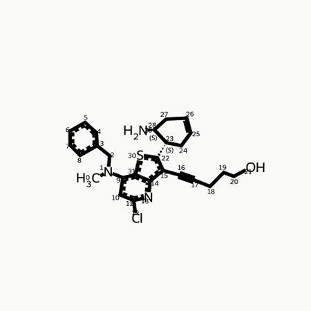 CN(Cc1ccccc1)c1cc(Cl)nc2c(C#CCCCO)c([C@H]3CC=CC[C@@H]3N)sc12